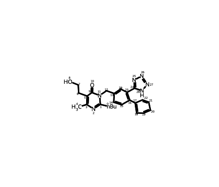 CCCCc1nc(C)c(CCO)c(=O)n1Cc1ccc(-c2ccccc2)c(-c2nnn[nH]2)c1